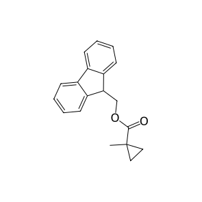 CC1(C(=O)OCC2c3ccccc3-c3ccccc32)CC1